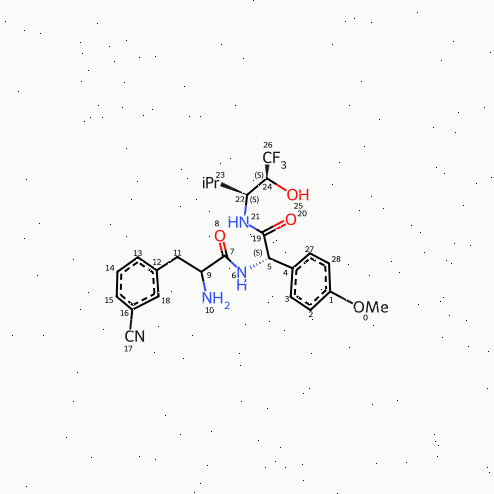 COc1ccc([C@H](NC(=O)C(N)Cc2cccc(C#N)c2)C(=O)N[C@@H](C(C)C)[C@H](O)C(F)(F)F)cc1